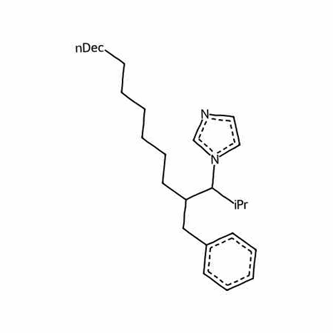 CCCCCCCCCCCCCCCCC(Cc1ccccc1)C(C(C)C)n1ccnc1